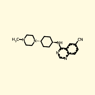 CN1CCN([C@H]2CC[C@H](Nc3ncnc4ccc(C#N)cc34)CC2)CC1